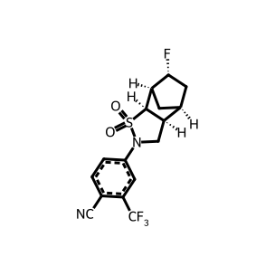 N#Cc1ccc(N2C[C@@H]3[C@H]4C[C@@H]([C@@H]3S2(=O)=O)[C@H](F)C4)cc1C(F)(F)F